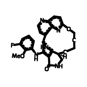 COc1c(F)cccc1Nc1c2[nH]c3c1C(=O)NC[C@@H]3CCCCOc1ccc3nccc-2c3n1